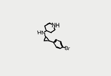 Brc1ccc(C2CC2NC2CCNCC2)cc1